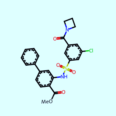 COC(=O)c1ccc(-c2ccccc2)cc1NS(=O)(=O)c1cc(Cl)cc(C(=O)N2CCC2)c1